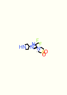 O=S1(=O)C[CH]N(c2cn(C3CCNCC3)nc2C(F)F)CC1